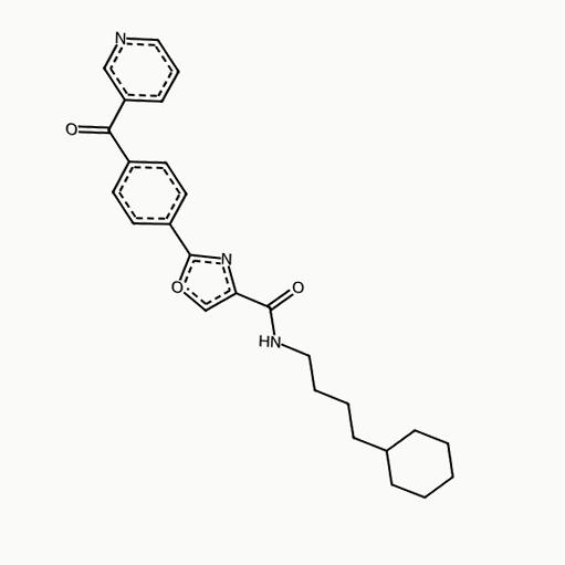 O=C(c1ccc(-c2nc(C(=O)NCCCCC3CCCCC3)co2)cc1)c1cccnc1